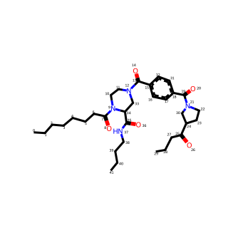 CCCCCCCC(=O)N1CCN(C(=O)c2ccc(C(=O)N3CCC(C(=O)CCC)C3)cc2)CC1C(=O)NCCCC